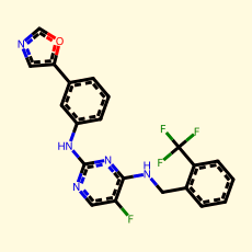 Fc1cnc(Nc2cccc(-c3cnco3)c2)nc1NCc1ccccc1C(F)(F)F